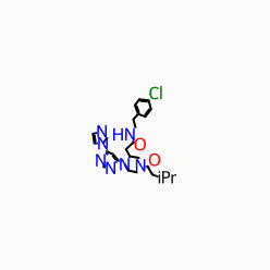 CC(C)CC(=O)N1CCN(c2cc(-n3ccnc3)ncn2)C(CC(=O)NCCc2ccc(Cl)cc2)C1